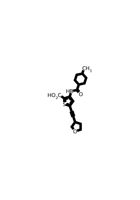 CC1CCC(C(=O)Bc2cc(C#CC3CCOC3)sc2C(=O)O)CC1